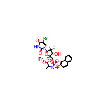 CC(C)OC(=O)C(C)NP(=O)(OC[C@@]1(F)O[C@@H](n2cc(Br)c(=O)[nH]c2=O)[C@](C)(F)[C@@H]1O)Oc1ccc2ccccc2c1